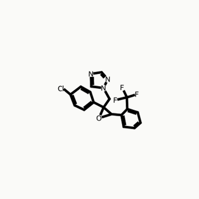 FC(F)(F)c1ccccc1C1OC1(Cn1cncn1)c1ccc(Cl)cc1